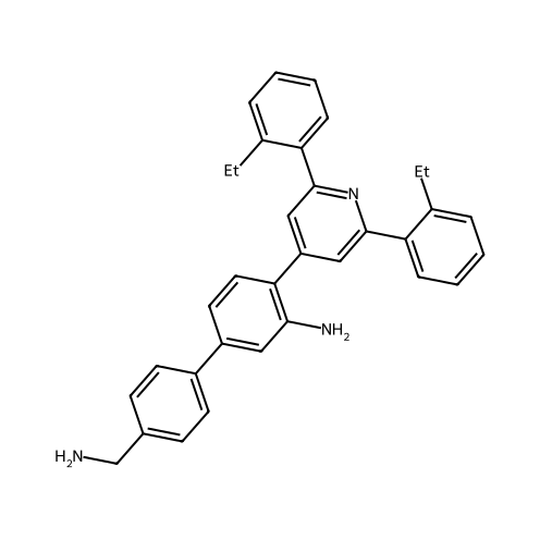 CCc1ccccc1-c1cc(-c2ccc(-c3ccc(CN)cc3)cc2N)cc(-c2ccccc2CC)n1